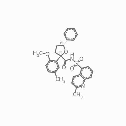 COc1ccc(C)cc1[C@@]1(C(=O)NS(=O)(=O)c2cccc3nc(C)ccc23)CC[C@H](c2ccccc2)O1